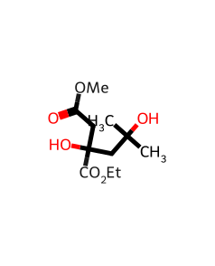 CCOC(=O)C(O)(CC(=O)OC)CC(C)(C)O